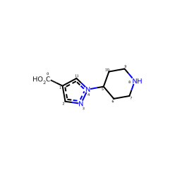 O=C(O)c1cnn(C2CCNCC2)c1